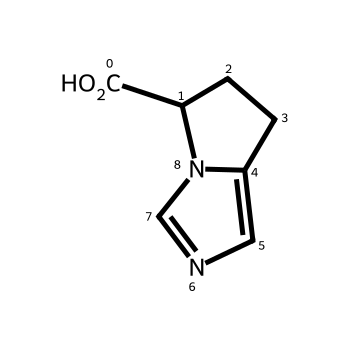 O=C(O)C1CCc2cncn21